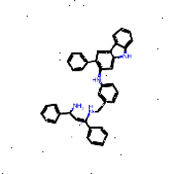 NC(/C=C(\NCc1cccc(Nc2cc3[nH]c4ccccc4c3cc2-c2ccccc2)c1)c1ccccc1)c1ccccc1